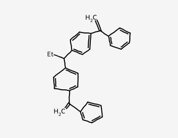 C=C(c1ccccc1)c1ccc(C(CC)c2ccc(C(=C)c3ccccc3)cc2)cc1